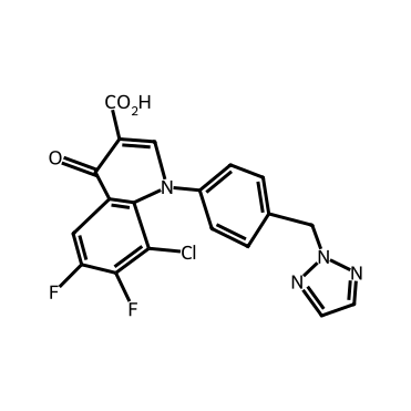 O=C(O)c1cn(-c2ccc(Cn3nccn3)cc2)c2c(Cl)c(F)c(F)cc2c1=O